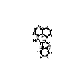 Oc1n[c]nc2cccc(-c3nc4ccccc4s3)c12